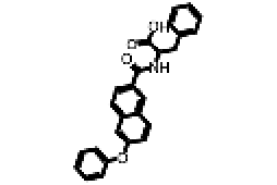 O=C(NC(Cc1ccccc1)C(=O)O)c1ccc2cc(Oc3ccccc3)ccc2c1